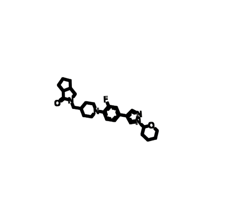 O=C1C2CCCC2CN1CC1CCN(c2ccc(-c3cnn(C4CCCCO4)c3)cc2F)CC1